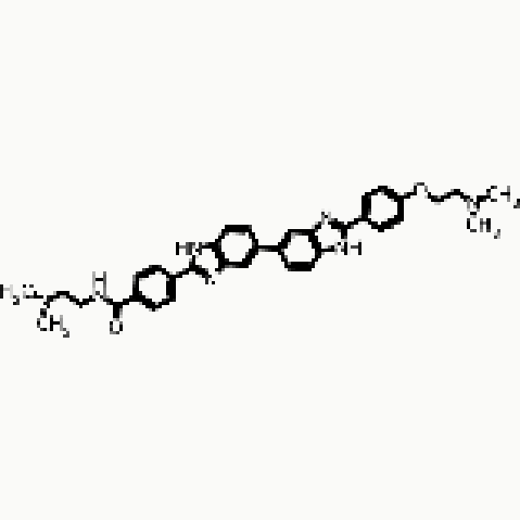 CN(C)CCNC(=O)c1ccc(-c2nc3cc(-c4ccc5[nH]c(-c6ccc(OCCN(C)C)cc6)nc5c4)ccc3[nH]2)cc1